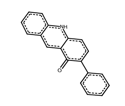 O=c1c(-c2ccccc2)ccc2[nH]c3ccccc3cc1-2